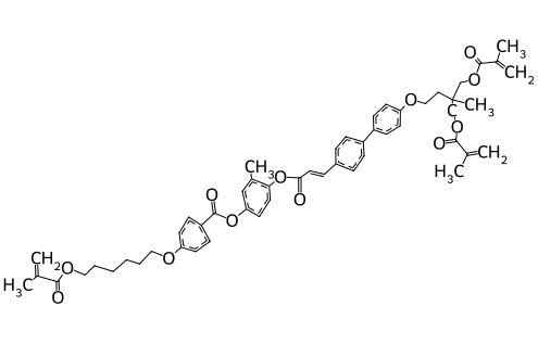 C=C(C)C(=O)OCCCCCCOc1ccc(C(=O)Oc2ccc(OC(=O)/C=C/c3ccc(-c4ccc(OCCC(C)(COC(=O)C(=C)C)COC(=O)C(=C)C)cc4)cc3)c(C)c2)cc1